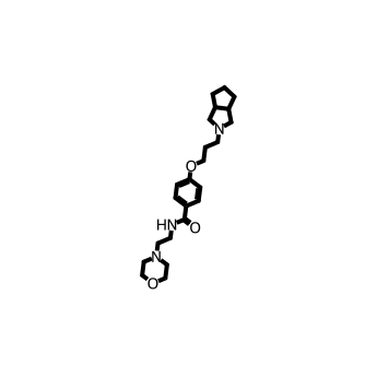 O=C(NCCN1CCOCC1)c1ccc(OCCCN2CC3CCCC3C2)cc1